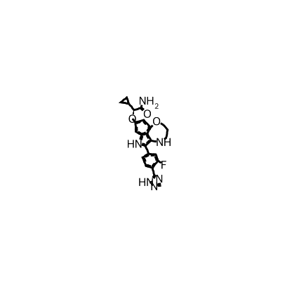 NC(=O)[C@@H](Oc1cc2c3c(c(-c4ccc(-c5ncn[nH]5)c(F)c4)[nH]c3c1)NCCCO2)C1CC1